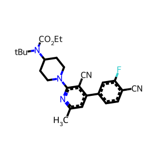 CCOC(=O)N(C1CCN(c2nc(C)cc(-c3ccc(C#N)c(F)c3)c2C#N)CC1)C(C)(C)C